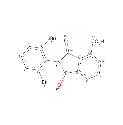 CCc1cccc(C(C)CC)c1N1C(=O)c2cccc(C(=O)O)c2C1=O